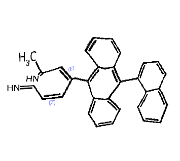 CC(=N)/C=C(\C=C/C=N)c1c2ccccc2c(-c2cccc3ccccc23)c2ccccc12